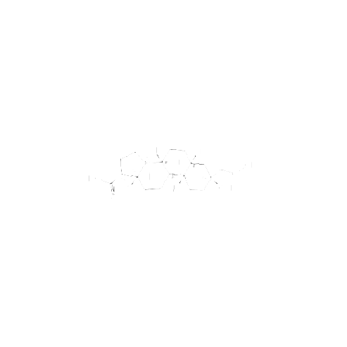 COC[C@]1(O)CC[C@H]2[C@H](CC[C@@H]3[C@@H]2CC[C@]2(C)[C@@H](C(C)=O)CC[C@@H]32)C1